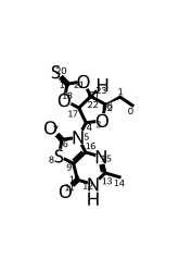 CC[C@H]1OC(n2c(=O)sc3c(=O)[nH]c(C)nc32)C2OC(=S)O[C@@H]21